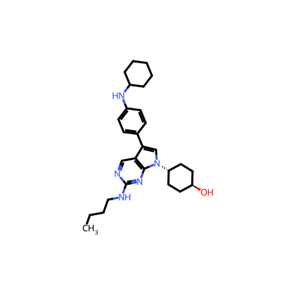 CCCCNc1ncc2c(-c3ccc(NC4CCCCC4)cc3)cn([C@H]3CC[C@H](O)CC3)c2n1